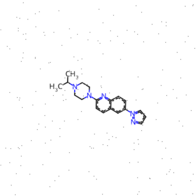 CC(C)N1CCN(c2ccc3cc(-n4cccn4)ccc3n2)CC1